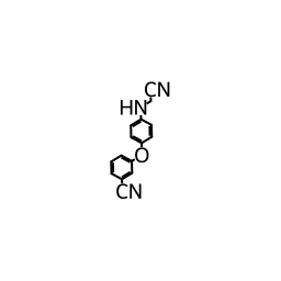 N#CCNc1ccc(Oc2cccc(C#N)c2)cc1